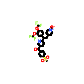 CS(=O)(=O)c1ccc(C(=O)c2ccc(C(Cc3cc[n+]([O-])cc3)c3ccc(OC(F)F)c(OC(F)F)c3)nc2)cc1